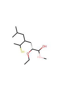 CBC(O)[C@@H](CC(CC(C)C)C(C)S)OCC